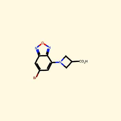 O=C(O)C1CN(c2cc(Br)cc3nonc23)C1